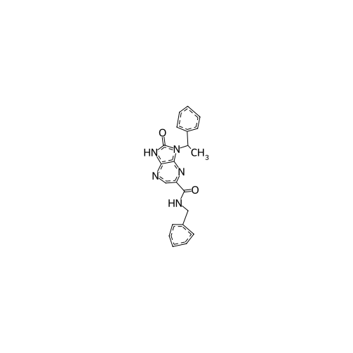 CC(c1ccccc1)n1c(=O)[nH]c2ncc(C(=O)NCc3ccccc3)nc21